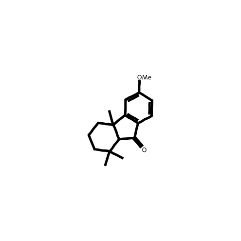 COc1ccc2c(c1)C1(C)CCCC(C)(C)C1C2=O